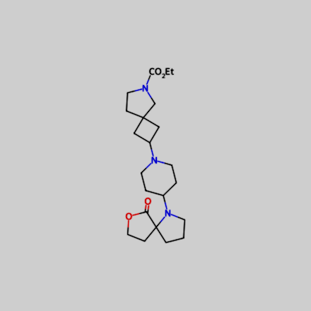 CCOC(=O)N1CCC2(CC(N3CCC(N4CCCC45CCOC5=O)CC3)C2)C1